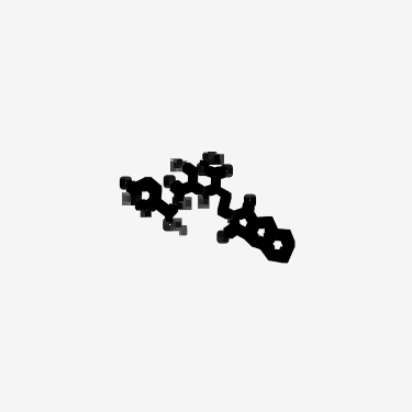 CC(C)CC(N[C@H](CCN1C(=O)c2cc3ccccc3cc2C1=O)C(=O)OC(C)(C)C)C(=O)N[C@@H](C)c1ccc(=O)[nH]n1